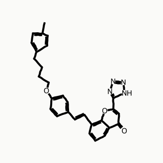 Cc1ccc(CCCCOc2ccc(/C=C/c3cccc4c(=O)cc(-c5nnn[nH]5)oc34)cc2)cc1